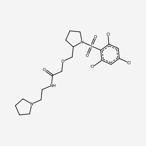 O=C(COCC1CCCN1S(=O)(=O)c1c(Cl)cc(Cl)cc1Cl)NCCN1CCCC1